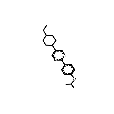 CCC1CCC(c2cnc(-c3ccc(OC(F)F)cc3)nc2)CC1